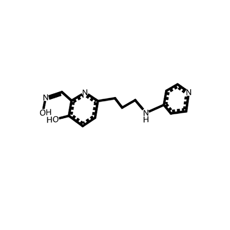 O/N=C\c1nc(CCCNc2ccncc2)ccc1O